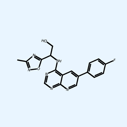 Cc1noc(C(CO)Nc2ncnc3ncc(-c4ccc(F)cc4)cc23)n1